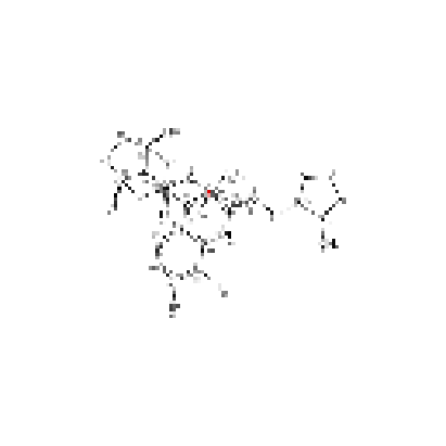 CN1CCC[C@H]1COc1nc(N2C[C@H]3CC[C@@H](C2)N3C(=O)OC(C)(C)C)c2ccc(Br)c(F)c2n1